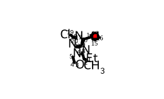 CCC1(C)OCCn2c1nc1c(N3CC4CC3C4)nc(Cl)nc12